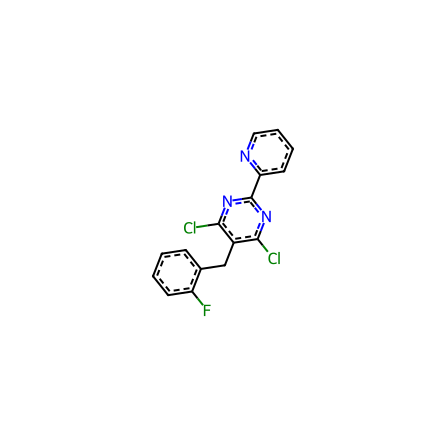 Fc1ccccc1Cc1c(Cl)nc(-c2ccccn2)nc1Cl